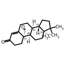 CC1(C)CC[C@H]2[C@@H]3CCC4=CC(=O)CC[C@]4(C=O)[C@@H]3CC[C@@]21C